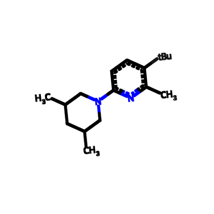 Cc1nc(N2CC(C)CC(C)C2)ccc1C(C)(C)C